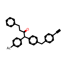 C#Cc1ccc(Cc2ccc(C(C(=O)CCc3ccccc3)c3ccc(C(C)=O)cc3)cc2)cc1